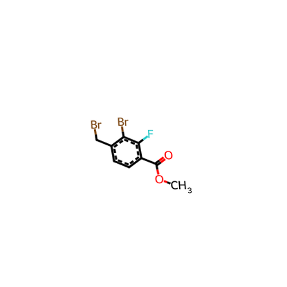 COC(=O)c1ccc(CBr)c(Br)c1F